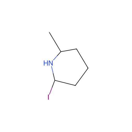 CC1CCCC(I)N1